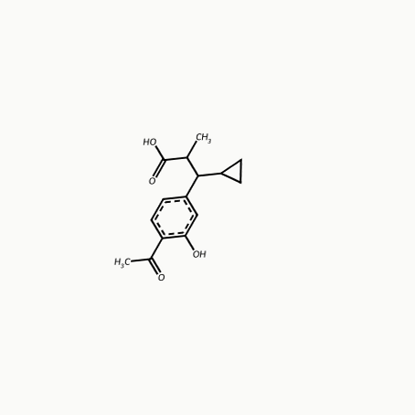 CC(=O)c1ccc(C(C2CC2)C(C)C(=O)O)cc1O